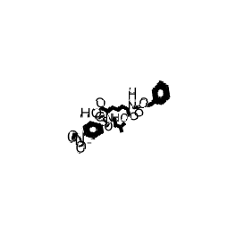 CC(C)CCN(C(CCCC(NC(=O)OCc1ccccc1)C(=O)O)C(=O)O)S(=O)(=O)c1ccc([N+](=O)[O-])cc1